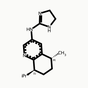 CC(C)[C@@H]1CC[C@@H](C)c2cc(NC3=NCCN3)cnc21